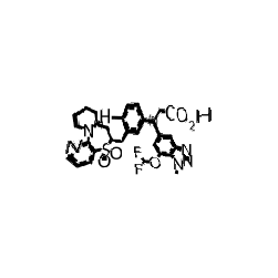 Cc1ccc([C@@H](CC(=O)O)c2cc(OC(F)F)c3c(c2)nnn3C)cc1CC1C[C@H]2CCCCN2c2ncccc2S1(=O)=O